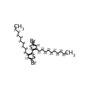 CCCCCCCCCCc1cc(Br)sc1-c1sc(Br)cc1CCCCCCCCCC